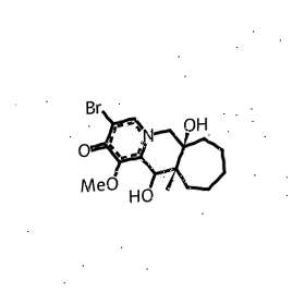 COc1c2n(cc(Br)c1=O)C[C@]1(O)CCCCC[C@]1(C)C2O